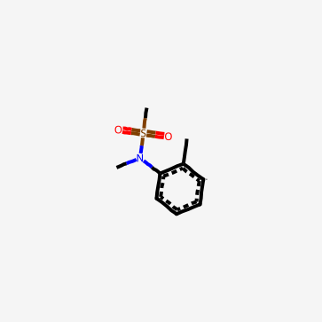 Cc1[c]cccc1N(C)S(C)(=O)=O